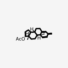 C=C1C=C[C@@]2(C)C(=C1)CC[C@H]1[C@@H]3CC[C@H](OC(C)=O)[C@@]3(C)CC[C@@H]12